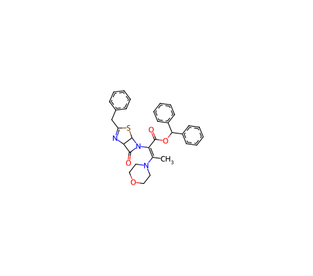 CC(=C(C(=O)OC(c1ccccc1)c1ccccc1)N1C(=O)C2N=C(Cc3ccccc3)SC21)N1CCOCC1